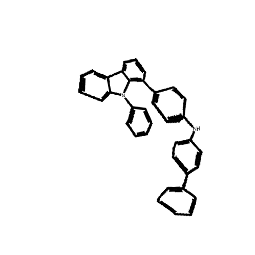 c1ccc(-c2ccc(Nc3ccc(-c4cccc5c6ccccc6n(-c6ccccc6)c45)cc3)cc2)cc1